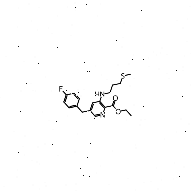 CCOC(=O)c1ncc(Cc2ccc(F)cc2)cc1NCCCSC